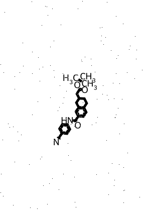 CC(C)(C)OC(=O)CC1CCc2ccc(C(=O)Nc3ccc(C#N)cc3)cc2C1